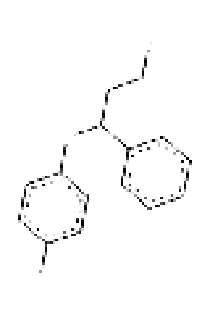 Cc1ccc(OC(CCN)c2ccccc2)cc1